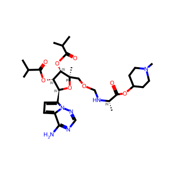 CC(C)C(=O)O[C@H]1[C@H](c2ccc3c(N)ncnn23)O[C@](C)(COCN[C@@H](C)C(=O)OC2CCN(C)CC2)[C@H]1OC(=O)C(C)C